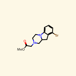 COC(=O)CN1CCN2c3cccc(Br)c3CC2C1